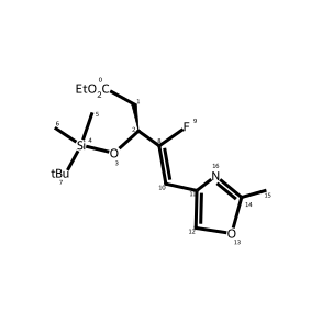 CCOC(=O)C[C@H](O[Si](C)(C)C(C)(C)C)C(F)=Cc1coc(C)n1